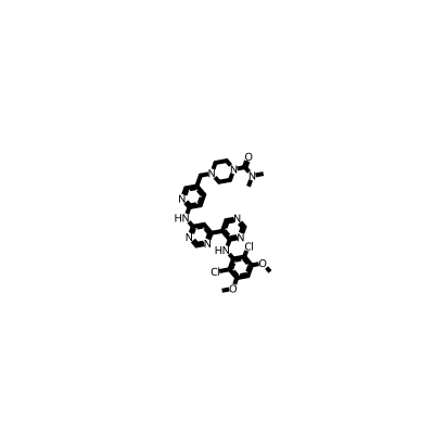 COc1cc(OC)c(Cl)c(Nc2ncncc2-c2cc(Nc3ccc(CN4CCN(C(=O)N(C)C)CC4)cn3)ncn2)c1Cl